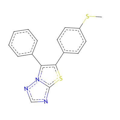 CSc1ccc(-c2sc3ncnn3c2-c2ccccc2)cc1